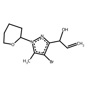 C=CC(O)c1nn(C2CCCCO2)c(C)c1Br